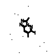 Cc1cc2nnc(C)n2nc1I